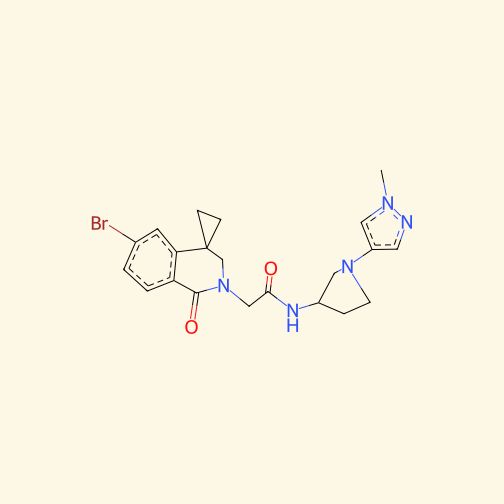 Cn1cc(N2CCC(NC(=O)CN3CC4(CC4)c4cc(Br)ccc4C3=O)C2)cn1